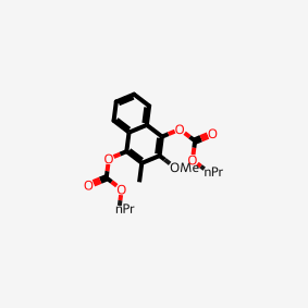 CCCOC(=O)Oc1c(C)c(OC)c(OC(=O)OCCC)c2ccccc12